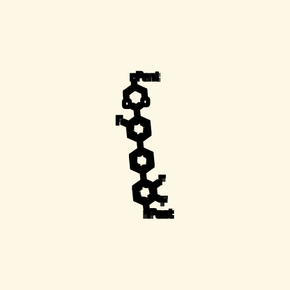 CCCCCc1ccc(-c2ccc(-c3ccc(C4OCC(CCCCC)CO4)c(F)c3)cc2)c(F)c1F